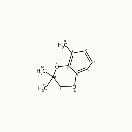 Cc1cccc2c1OC(C)(C)CO2